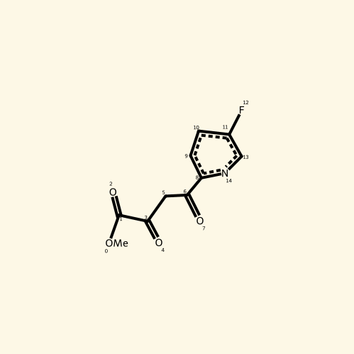 COC(=O)C(=O)CC(=O)c1ccc(F)cn1